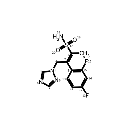 C/C(=C(/Cn1cncn1)c1ccc(F)cc1F)S(N)(=O)=O